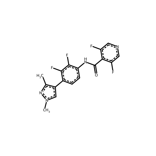 Cc1nn(C)cc1-c1ccc(NC(=O)c2c(F)cncc2F)c(F)c1F